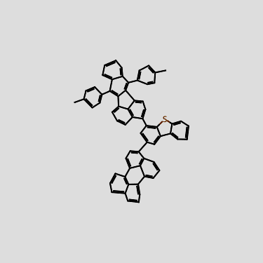 Cc1ccc(-c2c3c(c(-c4ccc(C)cc4)c4ccccc24)-c2ccc(-c4cc(-c5ccc6c7cccc8cccc(c9cccc5c96)c87)cc5c4sc4ccccc45)c4cccc-3c24)cc1